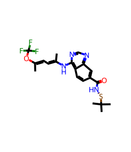 C/C(=C\C=C(/C)OC(F)(F)F)Nc1ncnc2cc(C(=O)NSC(C)(C)C)ccc12